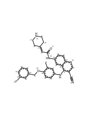 Cc1cc(Nc2c(C#N)cnc3ccc(NC(=O)C=C4CCNCC4)cc23)ccc1OCc1cccc(F)c1